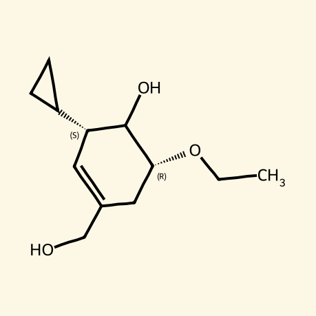 CCO[C@@H]1CC(CO)=C[C@H](C2CC2)C1O